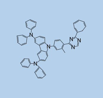 Cc1cc(-n2c3ccc(N(c4ccccc4)c4ccccc4)cc3c3cc(N(c4ccccc4)c4ccccc4)ccc32)ccc1-c1ncnc(C2=CC=CC=CC2)n1